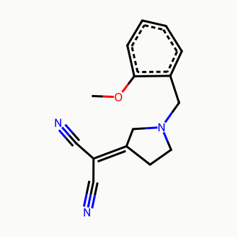 COc1ccccc1CN1CCC(=C(C#N)C#N)C1